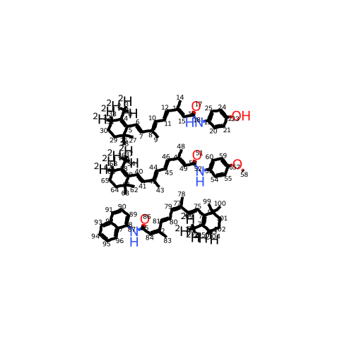 [2H]C([2H])([2H])C1=C(C=CC(C)=CC=CC(C)=CC(=O)Nc2ccc(O)cc2)C(C)(C)CCC1([2H])[2H].[2H]C([2H])([2H])C1=C(C=CC(C)=CC=CC(C)=CC(=O)Nc2ccc(OC)cc2)C(C)(C)CCC1([2H])[2H].[2H]C([2H])([2H])C1=C(C=CC(C)=CC=CC(C)=CC(=O)Nc2cccc3ccccc23)C(C)(C)CCC1([2H])[2H]